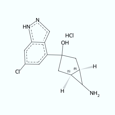 Cl.NC1[C@H]2CC(O)(c3cc(Cl)cc4[nH]ncc34)C[C@@H]12